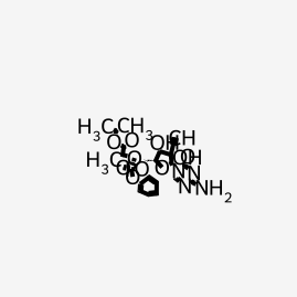 C#C[C@@]1(O)C(O)[C@@H](COP(=O)(Oc2ccccc2)O[C@@H](C)C(=O)OC(C)C)O[C@H]1n1cnc(N)nc1=O